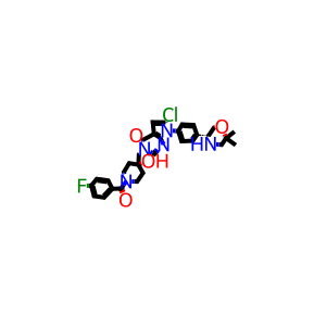 CC1(C)CN[C@H](c2ccc(-n3c(Cl)cc4c(=O)n(CC5(O)CCN(C(=O)c6ccc(F)cc6)CC5)cnc43)cc2)CO1